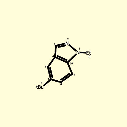 CCn1ncc2cc(C(C)(C)C)ccc21